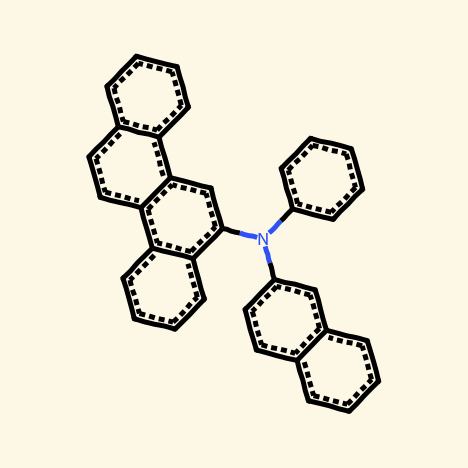 c1ccc(N(c2ccc3ccccc3c2)c2cc3c4ccccc4ccc3c3ccccc23)cc1